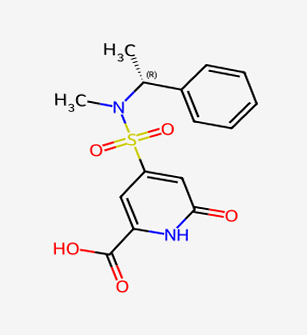 C[C@H](c1ccccc1)N(C)S(=O)(=O)c1cc(C(=O)O)[nH]c(=O)c1